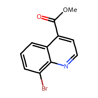 COC(=O)c1ccnc2c(Br)cccc12